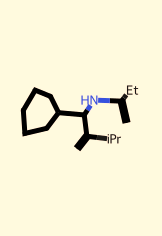 C=C(CC)NC(C(=C)C(C)C)C1CCCCC1